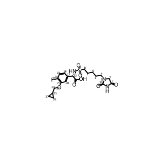 O=C1CN(CCCCCS(=O)(=O)N[C@H](C(=O)O)c2ccc(F)c(OCC3CC3)c2)C(=O)N1